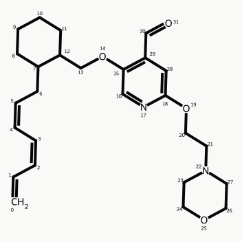 C=C/C=C\C=C/CC1CCCCC1COc1cnc(OCCN2CCOCC2)cc1C=O